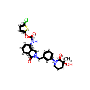 CC1(O)CCCN(c2cccc(CN3CC4=C(NC(=O)Oc5ccc(Cl)s5)C=CCC4C3=O)c2)C1=O